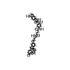 O=C(/C=C/C(=O)Nc1ccc(NC(=O)Nc2ccc3[nH]ccc3c2)cc1)NCCCOc1ccc2c(c1)CN(C1CCC(=O)NC1=O)C2=O